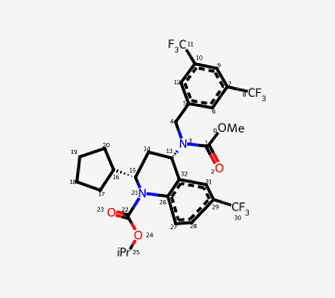 COC(=O)N(Cc1cc(C(F)(F)F)cc(C(F)(F)F)c1)[C@H]1C[C@@H](C2CCCC2)N(C(=O)OC(C)C)c2ccc(C(F)(F)F)cc21